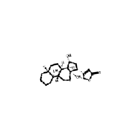 C[C@]12CC[C@H]3[C@@H](CC[C@H]4CCCC[C@@]43C)[C@H]1[C@H](O)C[C@@H]2C1=CC(=O)OC1